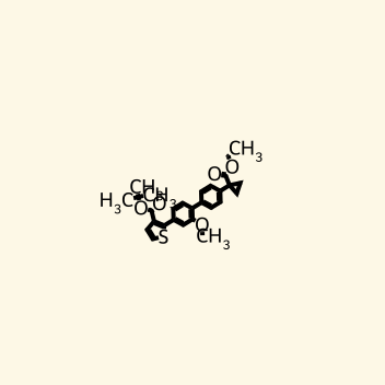 CCOC(=O)C1(c2ccc(-c3ccc(-c4sccc4C(=O)OC(C)(C)C)cc3OC)cc2)CC1